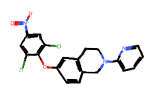 O=[N+]([O-])c1cc(Cl)c(Oc2ccc3c(c2)CCN(c2ccccn2)C3)c(Cl)c1